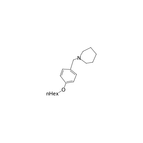 CCCCCCOc1ccc(CN2CCCCC2)cc1